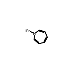 CC(C)N1C=CC=CC=C1